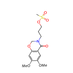 COc1cc2c(cc1OC)C(=O)N(CCCOS(C)(=O)=O)CO2